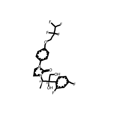 C[C@@H](n1ccn(-c2ccc(OCC(F)(F)C(F)F)cc2)c1=O)[C@](O)(CO)c1ccc(F)cc1F